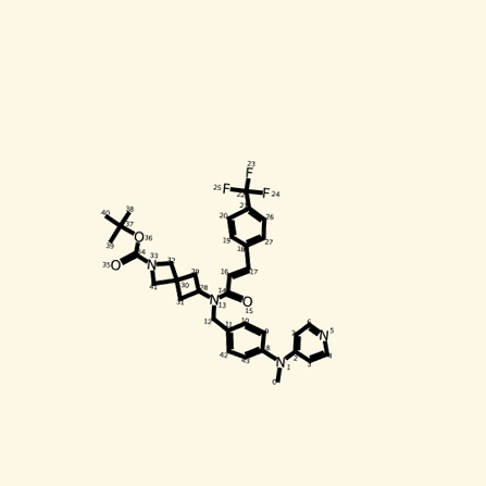 CN(c1ccncc1)c1ccc(CN(C(=O)/C=C/c2ccc(C(F)(F)F)cc2)C2CC3(C2)CN(C(=O)OC(C)(C)C)C3)cc1